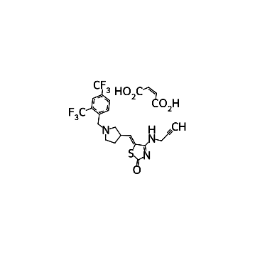 C#CCNC1=NC(=O)S/C1=C\C1CCN(Cc2ccc(C(F)(F)F)cc2C(F)(F)F)C1.O=C(O)/C=C\C(=O)O